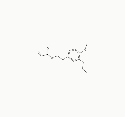 C=CC(=O)OCCc1ccc(OC)c(CCC)c1